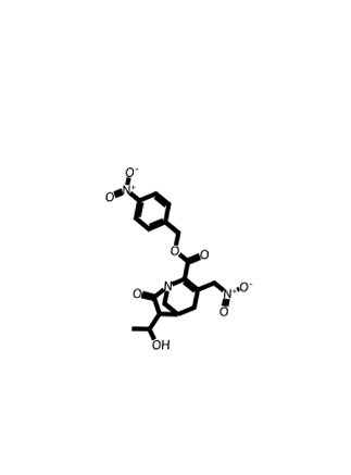 CC(O)C1C(=O)N2CC1CC(C[N+](=O)[O-])=C2C(=O)OCc1ccc([N+](=O)[O-])cc1